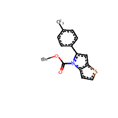 CC(C)(C)OC(=O)n1c(-c2ccc(C(F)(F)F)cc2)cc2sccc21